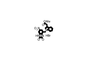 Br.COC(=O)Cc1cn(Cc2cc([N+](=O)[O-])cc3[nH]c(=O)c(=O)[nH]c23)c2ccccc12